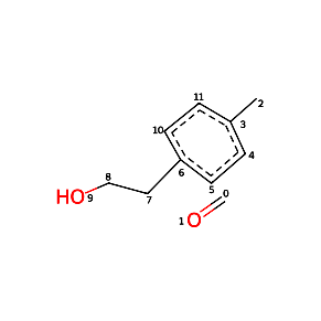 C=O.Cc1ccc(CCO)cc1